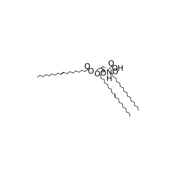 CCCCCCCCC=CCCCCCCCC(=O)OC[C@H](CSC[C@@H](NC(=O)CCCCCCCCCCCCCCC)C(=O)O)OC(=O)CCCCCCCC=CCCCCCCCC